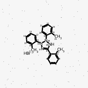 Br.Cc1ccccc1C1=NN(c2ccccc2C)N(c2ccccc2C)N1